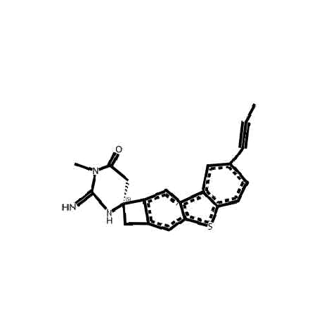 CC#Cc1ccc2sc3cc4c(cc3c2c1)[C@@]1(CC(=O)N(C)C(=N)N1)C4